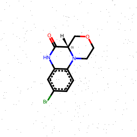 O=C1Nc2cc(Br)ccc2N2CCOC[C@@H]12